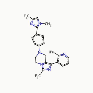 CC(C)c1ncccc1-c1nc(C(F)(F)F)n2c1CN(c1ccc(-c3nc(C(F)(F)F)cn3C)cc1)CC2